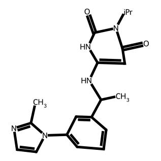 Cc1nccn1-c1cccc(C(C)Nc2cc(=O)n(C(C)C)c(=O)[nH]2)c1